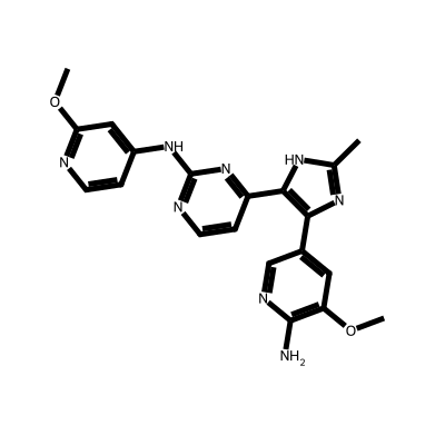 COc1cc(Nc2nccc(-c3[nH]c(C)nc3-c3cnc(N)c(OC)c3)n2)ccn1